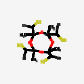 CCC(S)[Si]1(C)O[Si](C)(C(S)CC)O[Si](C)(C(S)CC)O[Si](C)(C(S)CC)O1